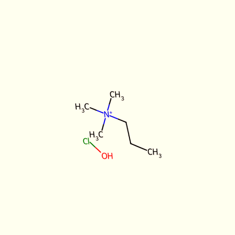 CCC[N+](C)(C)C.OCl